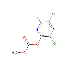 COC(=O)Oc1nc(Cl)c(Cl)cc1Cl